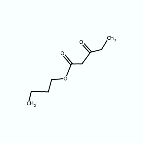 [CH2]CCCOC(=O)CC(=O)CC